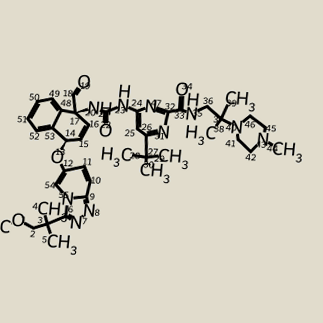 COCC(C)(C)c1nnc2ccc(O[C@@H]3C=C[C@](C=O)(NC(=O)Nc4cc(C(C)(C)C)nc(C(=O)NCC(C)(C)N5CCN(C)CC5)n4)c4ccccc43)cn12